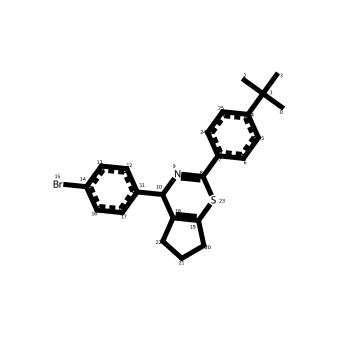 CC(C)(C)c1ccc(C2=NC(c3ccc(Br)cc3)C3=C(CCC3)S2)cc1